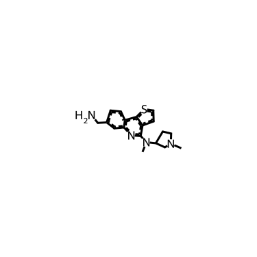 CN1CCC(N(C)c2nc3cc(CN)ccc3c3sccc23)C1